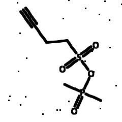 C#CCCS(=O)(=O)OP(C)(C)=O